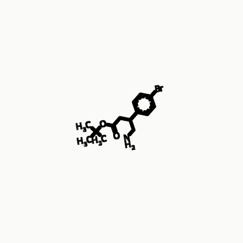 CC(C)(C)OC(=O)CC(CN)c1ccc(Br)cc1